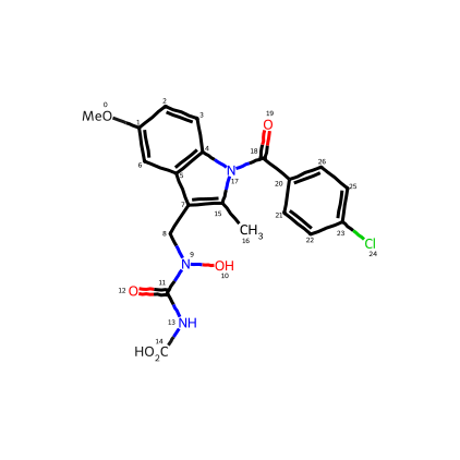 COc1ccc2c(c1)c(CN(O)C(=O)NC(=O)O)c(C)n2C(=O)c1ccc(Cl)cc1